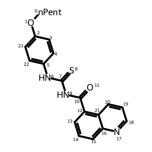 CCCCCOc1ccc(NC(=S)NC(=O)c2cccc3ncccc23)cc1